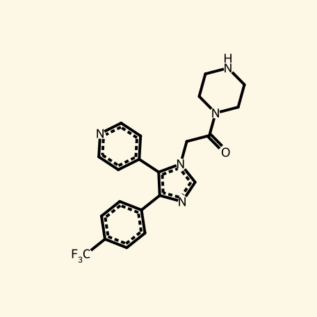 O=C(Cn1cnc(-c2ccc(C(F)(F)F)cc2)c1-c1ccncc1)N1CCNCC1